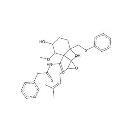 COC1C(O)CCC(O)(CSc2ccccc2)C1(C(=O)NC(=S)Cc1ccccc1)C1(C)OC1CC=C(C)C